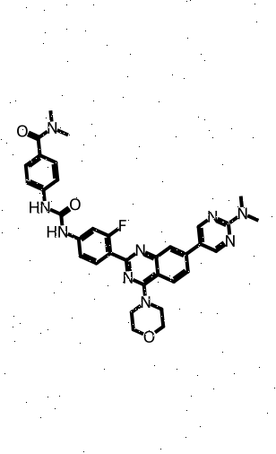 CN(C)C(=O)c1ccc(NC(=O)Nc2ccc(-c3nc(N4CCOCC4)c4ccc(-c5cnc(N(C)C)nc5)cc4n3)c(F)c2)cc1